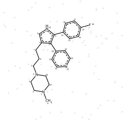 CN1CCN(CCCc2c[nH]c(-c3ccc(F)cc3)c2-c2ccncc2)CC1